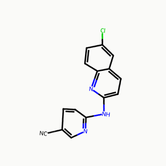 N#Cc1ccc(Nc2ccc3cc(Cl)ccc3n2)nc1